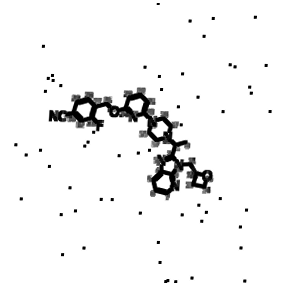 CC(c1nc2cccnc2n1C[C@@H]1CCO1)N1CCN(c2cccc(OCc3ccc(C#N)cc3F)n2)CC1